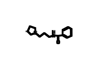 O=C(NCCCN1C[CH]CC1)c1ccccc1